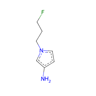 Nc1ccn(CCCF)c1